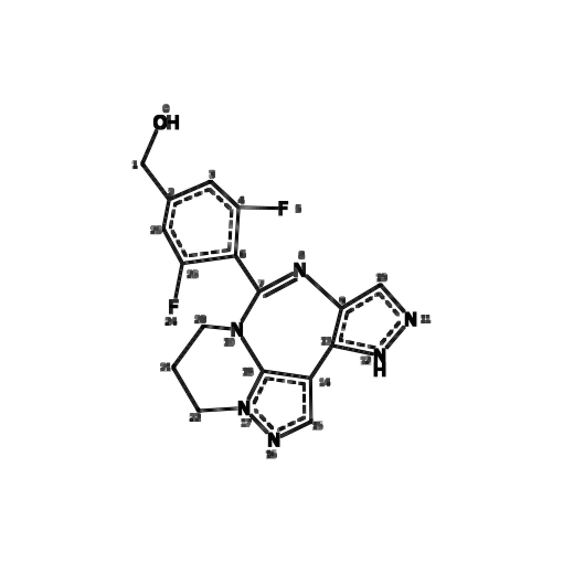 OCc1cc(F)c(C2=Nc3cn[nH]c3-c3cnn4c3N2CCC4)c(F)c1